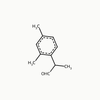 Cc1ccc(C(C)C=O)c(C)c1